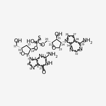 Nc1nc2c(ncn2[C@@H]2O[C@H](CO)C[C@H]2OP(O)(=S)OC[C@H]2OC[C@@H](n3ccc4c(N)ncnc43)[C@@H]2O)c(=O)[nH]1